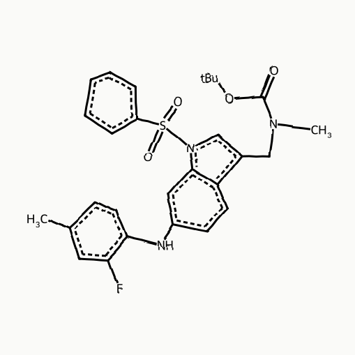 Cc1ccc(Nc2ccc3c(CN(C)C(=O)OC(C)(C)C)cn(S(=O)(=O)c4ccccc4)c3c2)c(F)c1